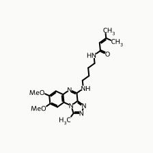 COc1cc2nc(NCCCCNC(=O)C=C(C)C)c3nnc(C)n3c2cc1OC